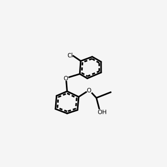 CC(O)Oc1ccccc1Oc1ccccc1Cl